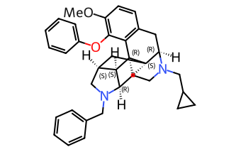 COc1ccc2c(c1Oc1ccccc1)[C@@]13CCN(CC4CC4)[C@H](C2)[C@]12CC[C@@H]1[C@H]3[C@@H](CN1Cc1ccccc1)C2